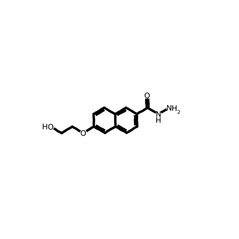 NNC(=O)c1ccc2cc(OCCO)ccc2c1